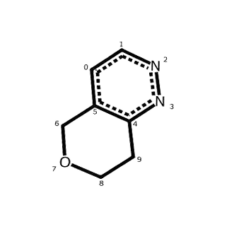 [c]1cnnc2c1COCC2